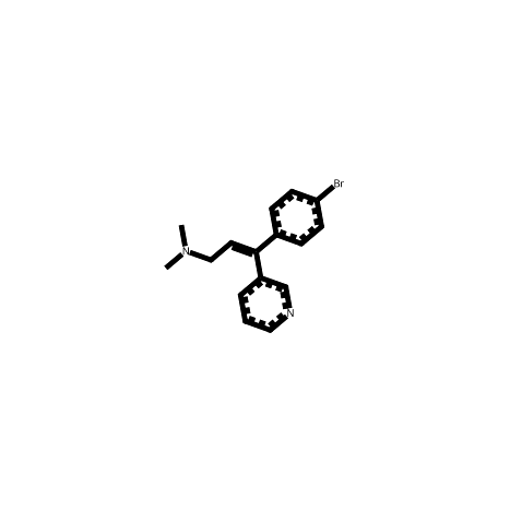 CN(C)CC=C(c1ccc(Br)cc1)c1cccnc1